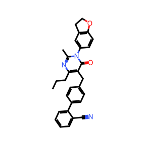 CCCc1nc(C)n(-c2ccc3c(c2)CCO3)c(=O)c1Cc1ccc(-c2ccccc2C#N)cc1